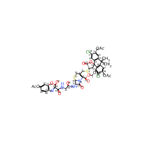 CC(=O)OCOC(=O)C1=C(CSC2CC3(OC2=O)c2cc(Cl)c(OC(C)=O)cc2C(C)(C)c2cc(OC(C)=O)c(Cl)cc23)CSC2C(NC(=O)CNC(=O)c3nc4ccc(OC(C)=O)cc4oc3=O)C(=O)N12